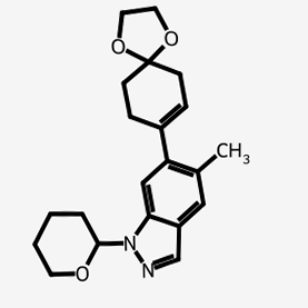 Cc1cc2cnn(C3CCCCO3)c2cc1C1=CCC2(CC1)OCCO2